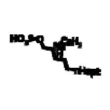 CCCCCCCCCCCCOS(=O)(=O)O.[CaH2].[NaH]